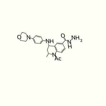 CC(=O)N1c2ccc(C(=O)NN)cc2C(Nc2ccc(N3CCOCC3)cc2)CC1C